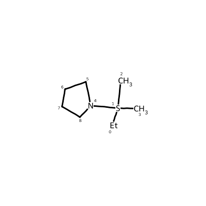 CCS(C)(C)N1CCCC1